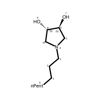 CCCCCCCCN1C[C@H](O)[C@@H](O)C1